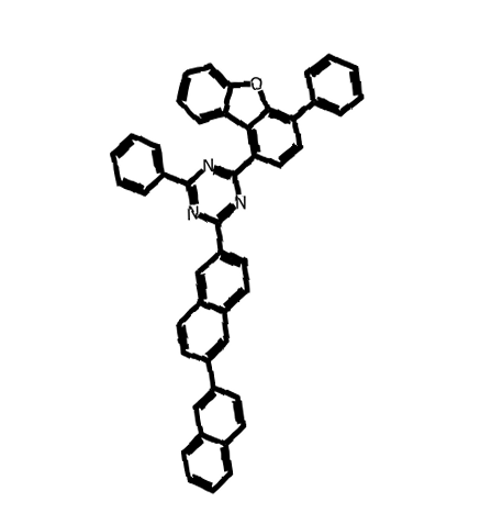 c1ccc(-c2nc(-c3ccc4cc(-c5ccc6ccccc6c5)ccc4c3)nc(-c3ccc(-c4ccccc4)c4oc5ccccc5c34)n2)cc1